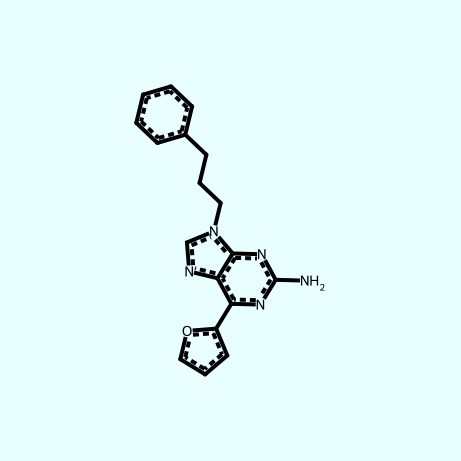 Nc1nc(-c2ccco2)c2ncn(CCCc3ccccc3)c2n1